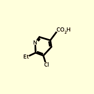 CCc1ncc(C(=O)O)cc1Cl